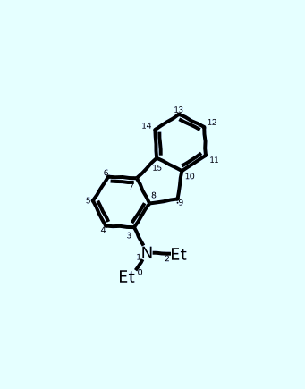 CCN(CC)c1cccc2c1[CH]c1ccccc1-2